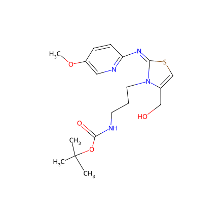 COc1ccc(N=c2scc(CO)n2CCCNC(=O)OC(C)(C)C)nc1